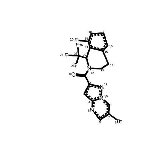 O=C(c1cc2ncc(Br)cn2n1)N1CCc2cccc(F)c2C1C(F)(F)F